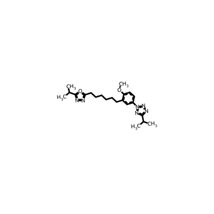 COc1ccc(-n2nnc(C(C)C)n2)cc1CCCCCCc1nnc(C(C)C)o1